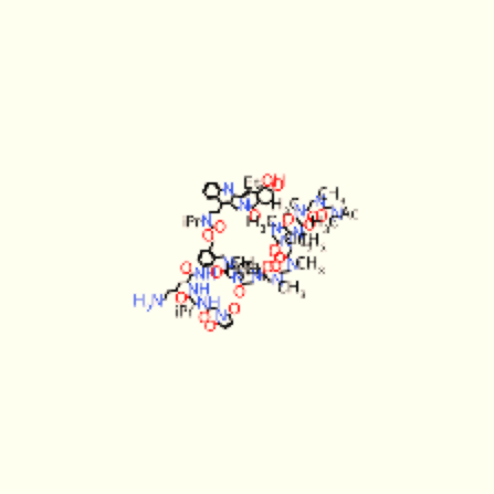 CC[C@@]1(O)C(=O)CCc2c1cc1n(c2=O)Cc2c-1nc1ccccc1c2CCN(C(=O)OCc1ccc(NC(=O)[C@H](CCCCN)NC(=O)[C@@H](NC(=O)CN2C(=O)C=CC2=O)C(C)C)cc1CN(C)C(=O)CN(C)C(=O)CN(C)C(=O)CN(C)C(=O)CN(C)C(=O)CN(C)C(=O)CN(C)C(=O)CN(C)C(=O)CN(C)C(=O)CN(C)C(=O)CN(C)C(C)=O)C(C)C